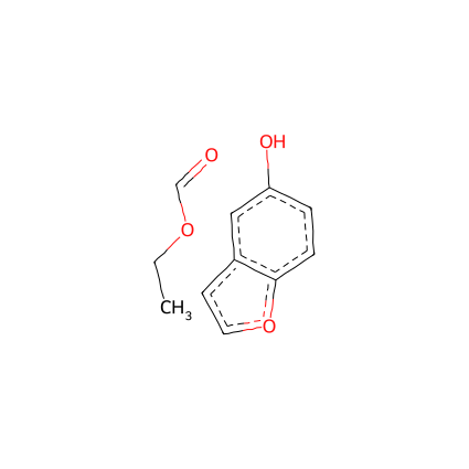 CCOC=O.Oc1ccc2occc2c1